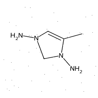 CC1=CN(N)CN1N